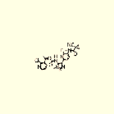 C[C@@H](OC(=O)Nc1c(-c2ccc(NC(=O)C3(C#N)CC3)c(F)n2)nnn1C)c1cccnc1Cl